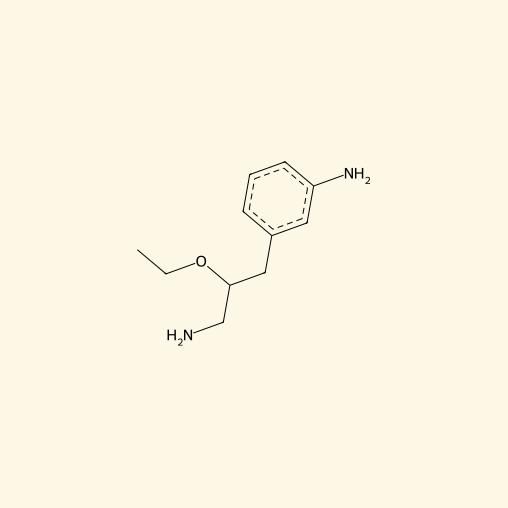 CCOC(CN)Cc1cccc(N)c1